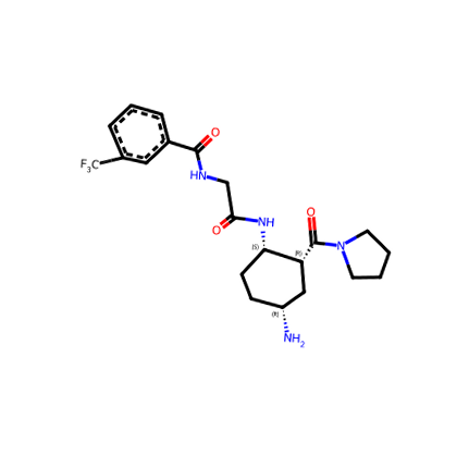 N[C@@H]1CC[C@H](NC(=O)CNC(=O)c2cccc(C(F)(F)F)c2)[C@H](C(=O)N2CCCC2)C1